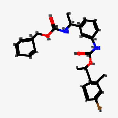 Cc1cc(Br)ccc1C(C)OC(=O)Nc1cccc(C(C)NC(=O)OCc2ccccc2)c1